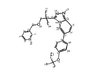 FC(F)(F)Oc1ccc(-c2ccc3nnc(C(F)(F)COCc4cccnc4)n3c2)cc1